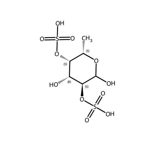 C[C@@H]1OC(O)[C@@H](OS(=O)(=O)O)[C@H](O)[C@@H]1OS(=O)(=O)O